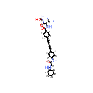 NC[C@H](NC(=O)c1ccc(C#CC#Cc2ccc(NC(=O)CNC3CCCCC3)cc2)cc1)C(=O)NO